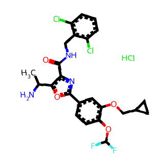 CC(N)c1oc(-c2ccc(OC(F)F)c(OCC3CC3)c2)nc1C(=O)NCc1c(Cl)cccc1Cl.Cl